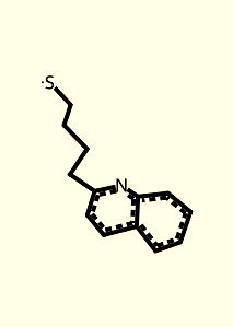 [S]CCCCc1ccc2ccccc2n1